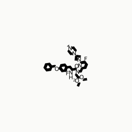 CCOC(CN(Cc1ccc(F)c(N2CC(N3CCN(C)CC3)C2)n1)C(=O)[C@@H](N)Cc1ccc(OCc2ccccc2)cc1F)OCC